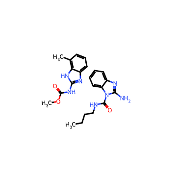 CCCCNC(=O)n1c(N)nc2ccccc21.COC(=O)Nc1nc2cccc(C)c2[nH]1